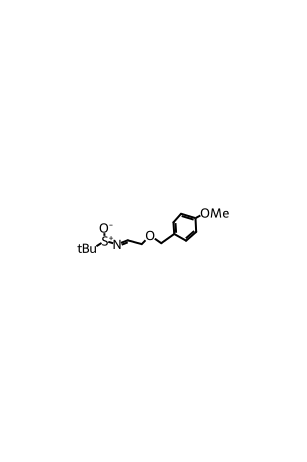 COc1ccc(COCC=N[S+]([O-])C(C)(C)C)cc1